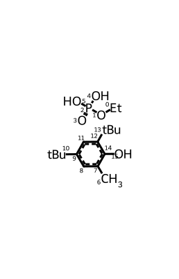 CCOP(=O)(O)O.Cc1cc(C(C)(C)C)cc(C(C)(C)C)c1O